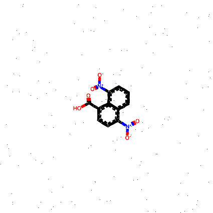 O=C(O)c1ccc([N+](=O)[O-])c2cccc([N+](=O)[O-])c12